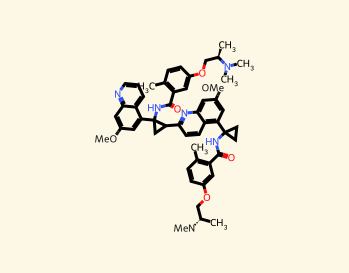 CN[C@@H](C)COc1ccc(C)c(C(=O)NC2(c3cc(OC)cc4nc(C5CC5(NC(=O)c5cc(OC[C@@H](C)N(C)C)ccc5C)c5cc(OC)cc6ncccc56)ccc34)CC2)c1